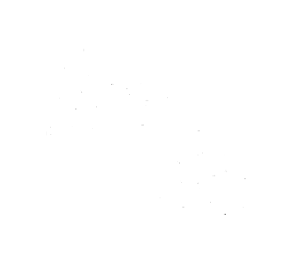 CC(C)(Br)C(=O)OCC(C)(COC(=O)C(C)(C)Br)C(=O)OCCN1C(=O)[C@@H]2C3C=CCC(O3)[C@@H]2C1=O